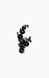 CC(C)(O)c1ncc(-c2cc3c(cc2F)nc2n3[C@@H]3C[C@H]2N(S(=O)(=O)c2cccnc2)c2cccc(OC(F)F)c23)cn1